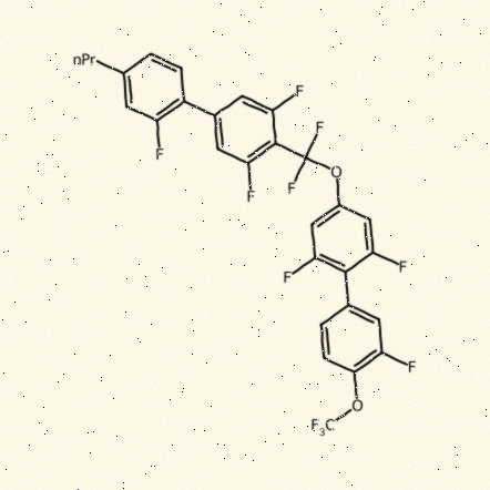 CCCc1ccc(-c2cc(F)c(C(F)(F)Oc3cc(F)c(-c4ccc(OC(F)(F)F)c(F)c4)c(F)c3)c(F)c2)c(F)c1